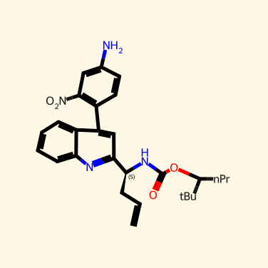 C=CC[C@H](NC(=O)OC(CCC)C(C)(C)C)c1cc(-c2ccc(N)cc2[N+](=O)[O-])c2ccccc2n1